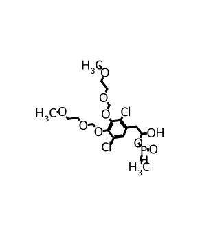 CC[PH](=O)OC(O)Cc1cc(Cl)c(OCOCCOC)c(OCOCCOC)c1Cl